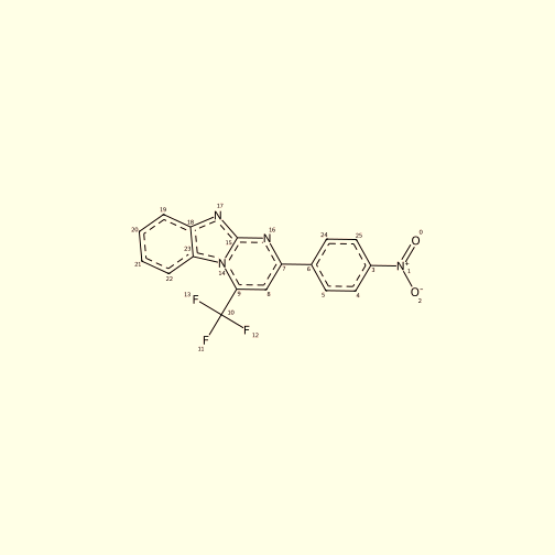 O=[N+]([O-])c1ccc(-c2cc(C(F)(F)F)n3c(n2)nc2ccccc23)cc1